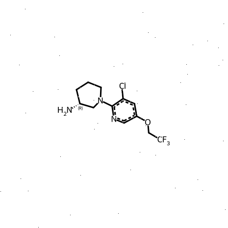 N[C@@H]1CCCN(c2ncc(OCC(F)(F)F)cc2Cl)C1